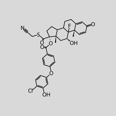 C[C@]12C=CC(=O)C=C1CCC1C3CC[C@](OC(=O)c4ccc(Oc5ccc(Cl)c(O)c5)cc4)(C(=O)SCC#N)[C@@]3(C)C[C@H](O)C12F